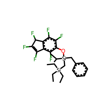 CC[Si](CC)(CC)C[Si](Cc1ccccc1)(Oc1c(F)c(F)c2c(c1F)C(F)=C(F)[C]2F)C(C)C